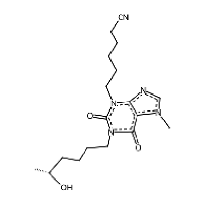 C[C@@H](O)CCCCn1c(=O)c2c(ncn2C)n(CCCCCC#N)c1=O